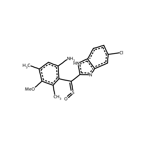 COc1c(C)cc(N)c(C(=S=O)c2nc3cc(Cl)ccc3[nH]2)c1C